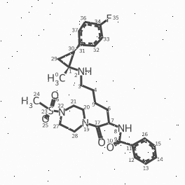 C[C@@]1(NCCCCC(NC(=O)c2ccccc2)C(=O)N2CCN(S(C)(=O)=O)CC2)C[C@H]1c1ccc(F)cc1